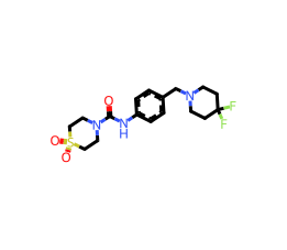 O=C(Nc1ccc(CN2CCC(F)(F)CC2)cc1)N1CCS(=O)(=O)CC1